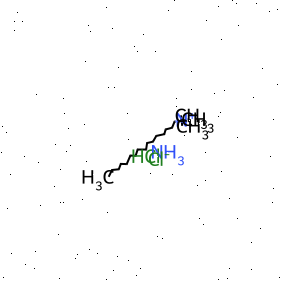 CCCCCCCCCCCCCCCC[N+](C)(C)C.Cl.N.[Cl-]